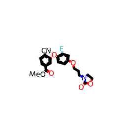 COC(=O)c1ccc(C#N)c(Oc2ccc(OCCCN3CCOC3=O)cc2F)c1